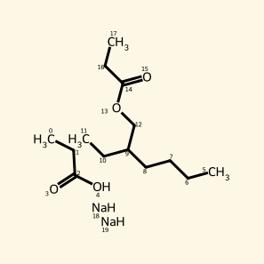 CCC(=O)O.CCCCC(CC)COC(=O)CC.[NaH].[NaH]